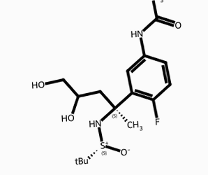 CC(C)(C)[S@@+]([O-])N[C@@](C)(CC(O)CO)c1cc(NC(=O)C(F)(F)F)ccc1F